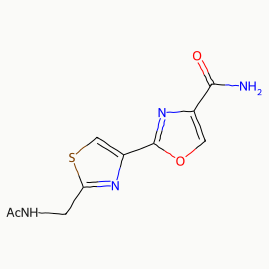 CC(=O)NCc1nc(-c2nc(C(N)=O)co2)cs1